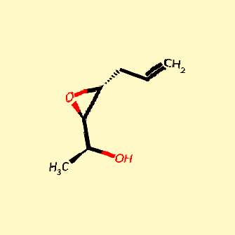 C=CC[C@H]1O[C@@H]1[C@H](C)O